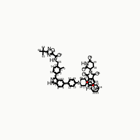 Cc1cc(-c2n[nH]c3ccc(-c4ccc(N5CCC(CN6CC7CC(C6)N7c6cc7c(cc6F)C(=O)N(C6CCC(=O)NC6=O)C7=O)CC5)cc4)cc23)ccc1CNC(=O)c1nc(C(C)(C)C)no1